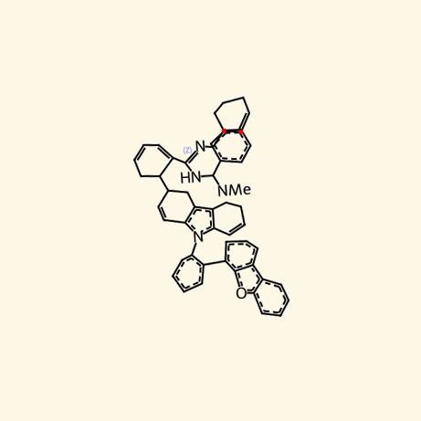 CNC(N/C(=N\CC1C=CCCC1)C1=CC=CCC1C1C=Cc2c(c3c(n2-c2ccccc2-c2cccc4c2oc2ccccc24)C=CCC3)C1)c1ccccc1